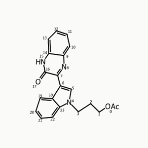 CC(=O)OCCCn1cc(-c2nc3ccccc3[nH]c2=O)c2ccccc21